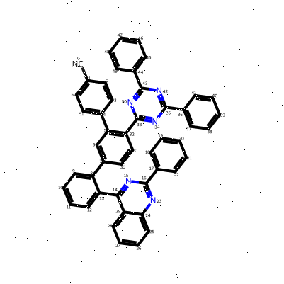 N#Cc1ccc(-c2cc(-c3ccccc3-c3nc(-c4ccccc4)nc4ccccc34)ccc2-c2nc(-c3ccccc3)nc(-c3ccccc3)n2)cc1